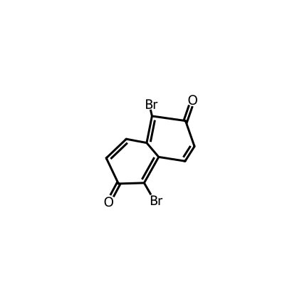 O=C1C=CC2=C(Br)C(=O)C=CC2=C1Br